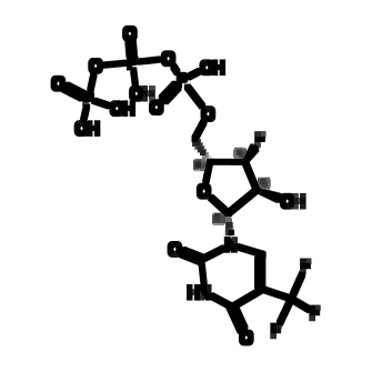 O=c1[nH]c(=O)n([C@@H]2O[C@H](COP(=O)(O)OP(=O)(O)OP(=O)(O)O)[C@@H](F)[C@H]2O)cc1C(F)(F)F